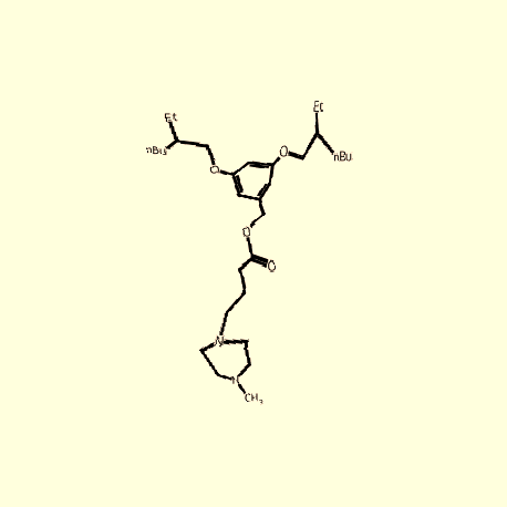 CCCCC(CC)COc1cc(COC(=O)CCCN2CCN(C)CC2)cc(OCC(CC)CCCC)c1